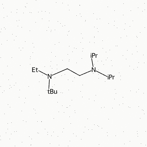 CCN(CCN(C(C)C)C(C)C)C(C)(C)C